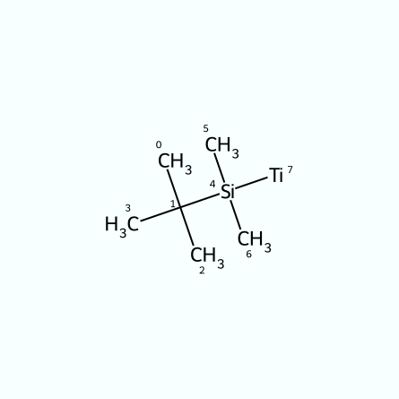 CC(C)(C)[Si](C)(C)[Ti]